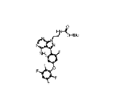 CC(C)(C)OC(=O)NCCn1nc(-c2ccc(Oc3c(F)c(F)cc(F)c3F)cc2F)c2c(N)ncnc21